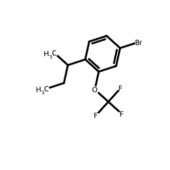 CCC(C)c1ccc(Br)cc1OC(F)(F)F